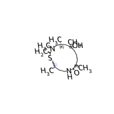 C=C1S/C=C(\C)CCNC(=O)[C@H](C)CCC[C@](C)(O)C[C@@H](C)CN1C